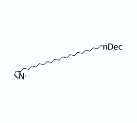 CCCCCCCCCCCCCCCCCCCCCCCCCCCCCCCC1=CC=C[N]1